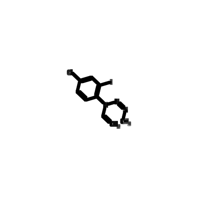 C=CN(/N=N\C)c1ccc(Cl)cc1I